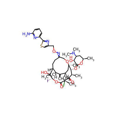 C=C1[C@H](C)C[C@@]2(C)OC/C(=N/OCc3csc(-c4cccc(N)n4)n3)CC[C@H]([C@H]1C)C(C)(O)[C@@H](I)OC(=O)[C@@](C)(F)C(=O)[C@H](C)[C@H]2O[C@@H]1O[C@H](C)C[C@H](N(C)C)[C@H]1O